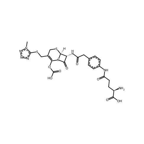 Cn1nnnc1SCC1=C(OC(=O)O)N2C(=O)[C@@H](NC(=O)Cc3ccc(NC(=O)CC[C@@H](N)C(=O)O)cc3)[C@@H]2SC1